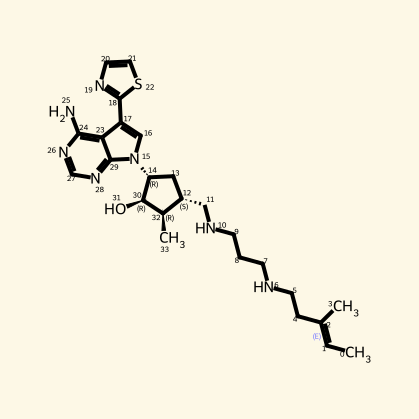 C/C=C(\C)CCNCCCNC[C@H]1C[C@@H](n2cc(-c3nccs3)c3c(N)ncnc32)[C@H](O)[C@@H]1C